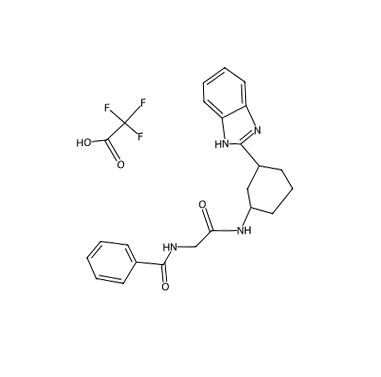 O=C(CNC(=O)c1ccccc1)NC1CCCC(c2nc3ccccc3[nH]2)C1.O=C(O)C(F)(F)F